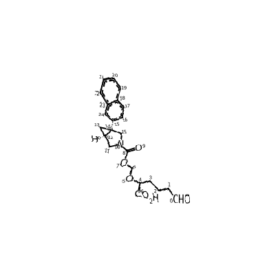 O=CCCCC(OCOC(=O)N1C[C@H]2C[C@@]2(c2ccc3ccccc3c2)C1)C(=O)O